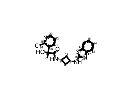 CC(O)(C(=O)N[C@H]1C[C@H](Nc2nc3ccccc3s2)C1)c1cccnc1Cl